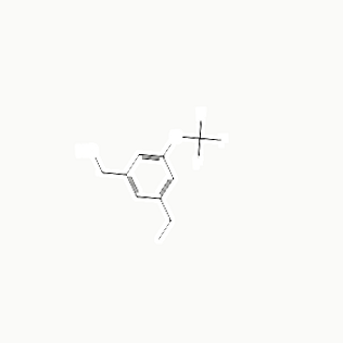 CCc1cc([CH]O)cc(OC(F)(F)F)c1